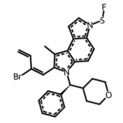 C=C/C(Br)=C\c1c(C)c2c3ccn(SF)c3ccc2n1[C@H](c1ccccc1)C1CCOCC1